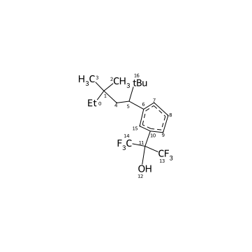 CCC(C)(C)CC(c1cccc(C(O)(C(F)(F)F)C(F)(F)F)c1)C(C)(C)C